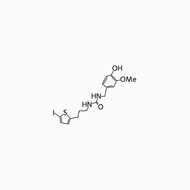 COc1cc(CNC(=O)NCCCc2ccc(I)s2)ccc1O